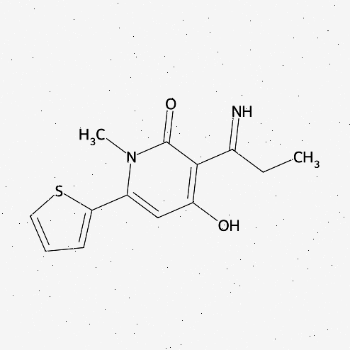 CCC(=N)c1c(O)cc(-c2cccs2)n(C)c1=O